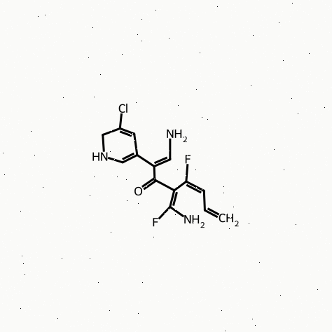 C=C/C=C(F)\C(C(=O)/C(=C/N)C1=CNCC(Cl)=C1)=C(/N)F